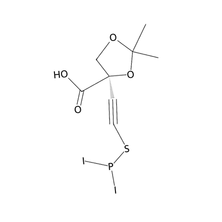 CC1(C)OC[C@](C#CSP(I)I)(C(=O)O)O1